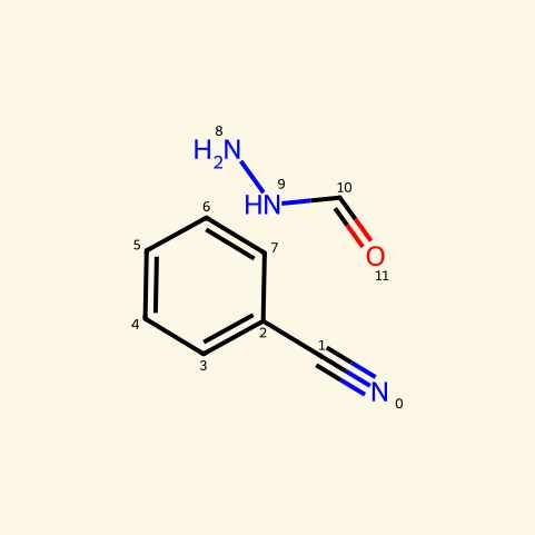 N#Cc1ccccc1.NNC=O